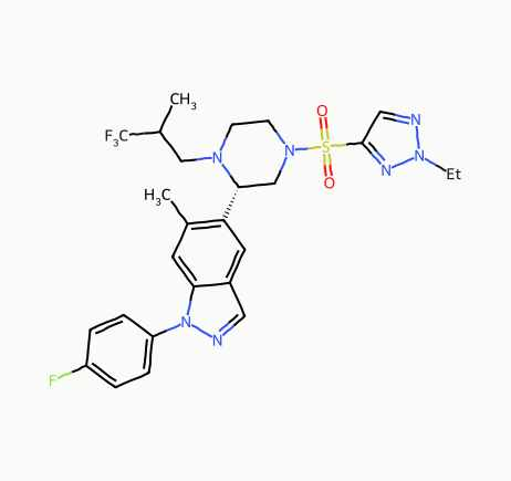 CCn1ncc(S(=O)(=O)N2CCN(CC(C)C(F)(F)F)[C@@H](c3cc4cnn(-c5ccc(F)cc5)c4cc3C)C2)n1